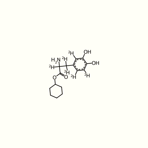 [2H]c1c([2H])c(C([2H])([2H])C([2H])(N)C(=O)OC2CCCCC2)c([2H])c(O)c1O